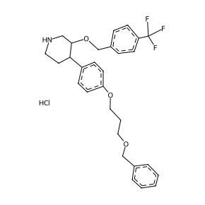 Cl.FC(F)(F)c1ccc(COC2CNCCC2c2ccc(OCCCOCc3ccccc3)cc2)cc1